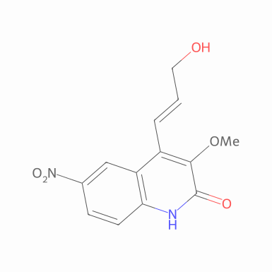 COc1c(C=CCO)c2cc([N+](=O)[O-])ccc2[nH]c1=O